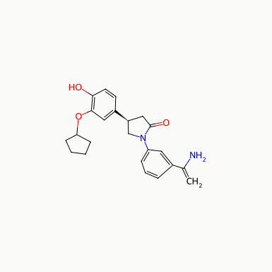 C=C(N)c1cccc(N2C[C@@H](c3ccc(O)c(OC4CCCC4)c3)CC2=O)c1